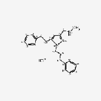 CNCc1cc(SCc2ccccc2)n(CCCc2ccccc2)n1.Cl